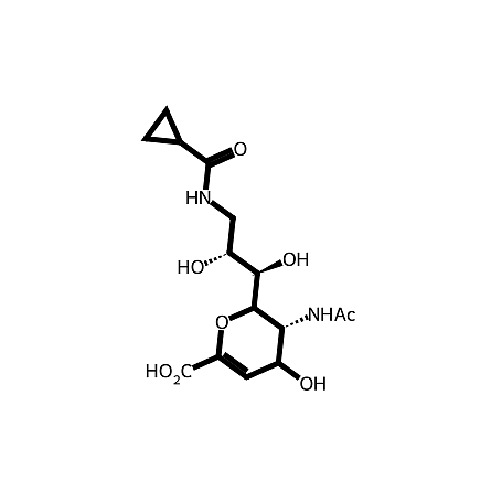 CC(=O)N[C@@H]1C(O)C=C(C(=O)O)OC1[C@H](O)[C@H](O)CNC(=O)C1CC1